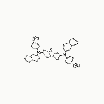 CC(C)(C)c1ccc(N(c2ccc3ccccc3c2)c2ccc3c(c2)sc2cc(N(c4ccc(C(C)(C)C)cc4)c4ccc5ccccc5c4)ccc23)cc1